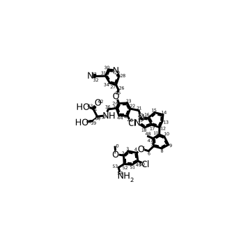 COc1cc(OCc2cccc(-c3cccc4c3cnn4Cc3cc(OCc4cncc(C#N)c4)c(CN[C@@H](CO)C(=O)O)cc3Cl)c2C)c(Cl)cc1CN